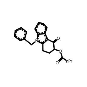 CCCC(=O)OC1CCc2c(c3ccccc3n2Cc2ccccc2)C1=O